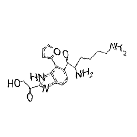 NCCCCC(N)C(=O)c1ccc2nc(C(=O)CO)[nH]c2c1-c1ccco1